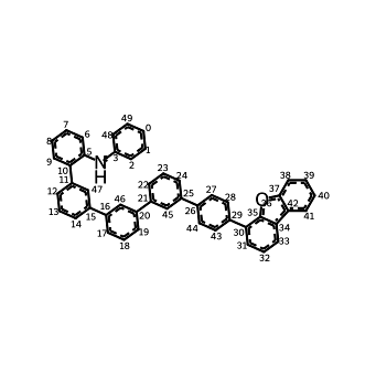 c1ccc(Nc2ccccc2-c2cccc(-c3cccc(-c4cccc(-c5ccc(-c6cccc7c6oc6ccccc67)cc5)c4)c3)c2)cc1